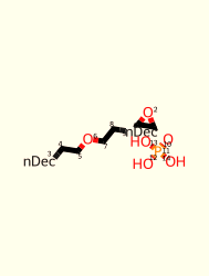 C1CO1.CCCCCCCCCCCCOCCCCCCCCCCCC.O=P(O)(O)O